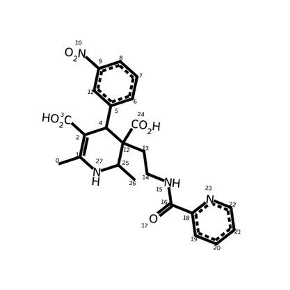 CC1=C(C(=O)O)C(c2cccc([N+](=O)[O-])c2)C(CCNC(=O)c2ccccn2)(C(=O)O)C(C)N1